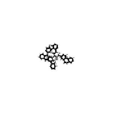 CC1=C(c2cccc3oc4ccc(-c5cccc6ccccc56)cc4c23)N=C(c2ccc3c(ccc4ccccc43)c2)NC1c1cccc2c1oc1ccccc12